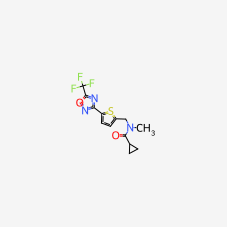 CN(Cc1ccc(-c2noc(C(F)(F)F)n2)s1)C(=O)C1CC1